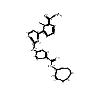 Cc1c(C(N)=O)cccc1-c1ccnc(Nc2ccc(C(=O)NC3CCCCCCC3)cc2)n1